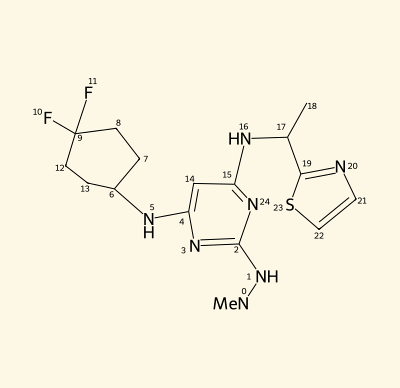 CNNc1nc(NC2CCC(F)(F)CC2)cc(NC(C)c2nccs2)n1